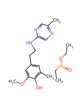 CCO[PH](=O)CC.COc1cc(CCNc2cnc(C)cn2)cc(C)c1O